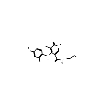 CBc1ccc(Nc2c(C(=O)N(C)OCCO)cn(C)c(=O)c2Cl)c(F)c1